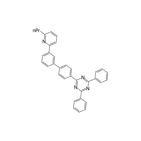 CCCc1cccc(-c2cccc(-c3ccc(-c4nc(-c5ccccc5)nc(-c5ccccc5)n4)cc3)c2)n1